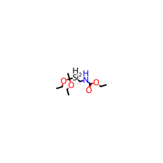 CCOC(=O)NC[SiH2]C(C)(OCC)OCC